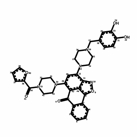 O=C1c2ccccc2-c2onc3c(N4CCN(Cc5ccc(O)c(O)c5)CC4)cc(N4CCN(C(=O)c5ccco5)CC4)c1c23